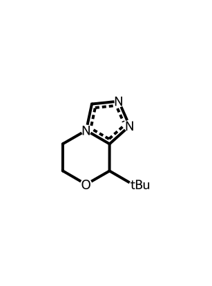 CC(C)(C)C1OCCn2cnnc21